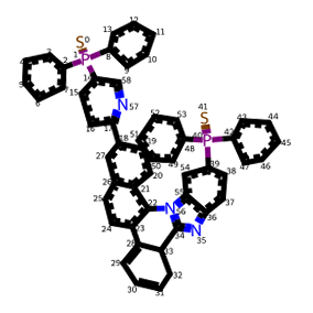 S=P(c1ccccc1)(c1ccccc1)c1ccc(-c2ccc3c4c(ccc3c2)C2=CC=CCC2c2nc3ccc(P(=S)(c5ccccc5)c5ccccc5)cc3n2-4)nc1